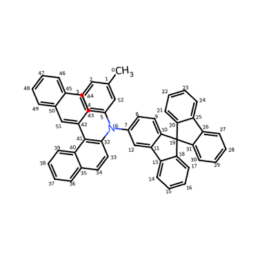 Cc1cccc(N(c2ccc3c(c2)-c2ccccc2C32c3ccccc3-c3ccccc32)c2ccc3ccccc3c2-c2ccc3ccccc3c2)c1